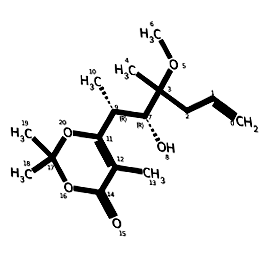 C=CCC(C)(OC)[C@H](O)[C@@H](C)C1=C(C)C(=O)OC(C)(C)O1